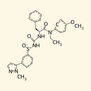 CCN(C(=O)[C@H](Cc1ccccc1)NC(=O)N[S+]([O-])c1cccc(-c2ccnn2C)c1)c1ccc(OC)cc1